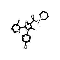 Cc1cccnc1-c1nc(C(=O)NN2CCCCC2)c(C)n1-c1ccc(Cl)cc1